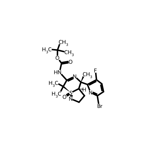 CC(C)(C)OC(=O)NC1=N[C@](C)(c2nc(Br)ccc2F)[C@H]2CCN=[S@@]2(=O)C1(C)C